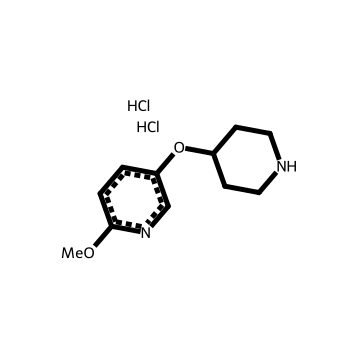 COc1ccc(OC2CCNCC2)cn1.Cl.Cl